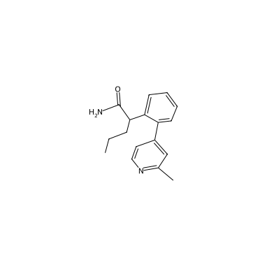 CCCC(C(N)=O)c1ccccc1-c1ccnc(C)c1